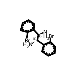 N[C@H](c1ccccc1Br)[C@@H](N)c1ccccc1Br